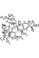 C=C/C=C(\C(P)=C(C)C)C1[C@H](C(=O)Nc2ccc(C(=O)C(C)C)cc2OC)NC(CC(C)(C)C)[C@]1(C#N)c1ccc(C)cc1F